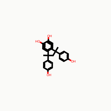 CC(CC(C)(c1ccc(O)cc1)c1ccc(O)cc1)(c1ccc(O)cc1)c1ccc(O)cc1